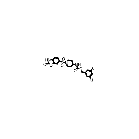 O=C(NC1CCN(S(=O)(=O)c2ccc3[nH]c(=O)oc3c2)CC1)OCc1cc(Cl)cc(Cl)c1